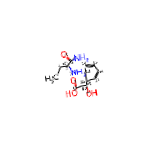 CC[C@H](N)C(N)=O.O=C(O)[C@H](O)c1ccccc1